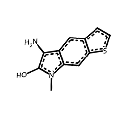 Cn1c(O)c(N)c2cc3ccsc3cc21